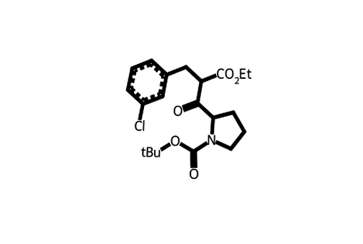 CCOC(=O)C(Cc1cccc(Cl)c1)C(=O)C1CCCN1C(=O)OC(C)(C)C